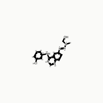 CN(CO)N=Nc1ccc2ncnc(Nc3cccc(Cl)c3)c2c1